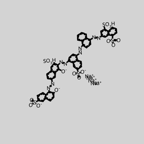 O=S(=O)([O-])c1ccc2c(N=Nc3ccc4cc(S(=O)(=O)O)c(N=Nc5ccc(N=Nc6ccc(N=Nc7cc(S(=O)(=O)O)c8cccc(S(=O)(=O)[O-])c8c7)c7ccccc67)c6ccc(S(=O)(=O)[O-])cc56)c([O-])c4c3)c([O-])ccc2c1.[Na+].[Na+].[Na+].[Na+].[Na+]